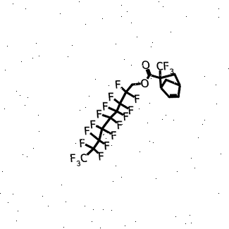 O=C(OCC(F)(F)C(F)(F)C(F)(F)C(F)(F)C(F)(F)C(F)(F)C(F)(F)C(F)(F)F)C1(C(F)(F)F)CC2C=CC1C2